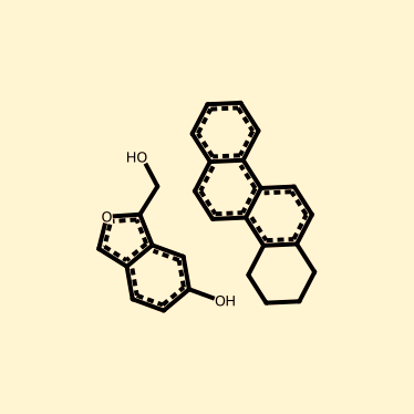 OCc1occ2ccc(O)cc12.c1ccc2c(c1)ccc1c3c(ccc12)CCCC3